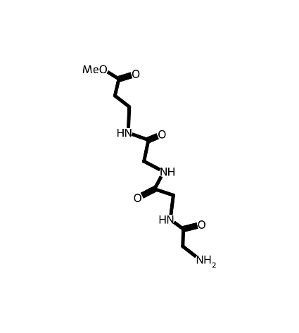 COC(=O)CCNC(=O)CNC(=O)CNC(=O)CN